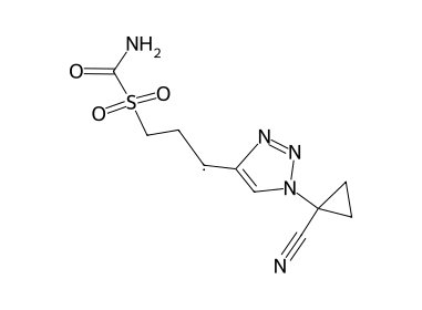 N#CC1(n2cc([CH]CCS(=O)(=O)C(N)=O)nn2)CC1